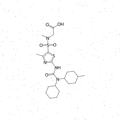 Cc1nc(NC(=O)N(C2CCCCC2)C2CCC(C)CC2)sc1S(=O)(=O)N(C)CC(=O)O